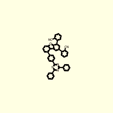 N#Cc1ccccc1-c1cc(-c2ccccc2C#N)c2oc3cccc(-c4ccc(-c5nc(-c6ccccc6)nc(-c6ccccc6)n5)cc4)c3c2c1